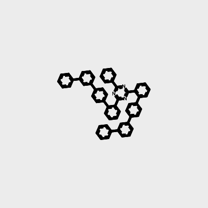 c1ccc(-c2cccc(-c3ccc(-c4ccccc4-c4nc(-c5ccccc5)nc(-c5ccccc5-c5ccc(-c6cccc(-c7ccccc7)c6)cc5)n4)cc3)c2)cc1